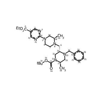 CCOC(=O)c1cnc(N2CCN(C[C@H]3CN(C(=O)OC(C)(C)C)[C@H](C)CN3Cc3ccccc3)[C@H](C)C2)nc1